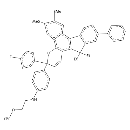 CCCOCCNc1ccc(C2(c3ccc(F)cc3)C=Cc3c4c(c5cc(SC)c(SC)cc5c3O2)-c2ccc(-c3ccccc3)cc2C4(CC)CC)cc1